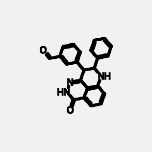 O=Cc1cccc(C2c3n[nH]c(=O)c4cccc(c34)NC2c2ccccc2)c1